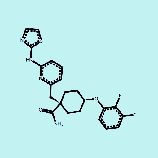 NC(=O)[C@]1(Cc2cccc(Nc3nccs3)n2)CC[C@@H](Oc2cccc(Cl)c2F)CC1